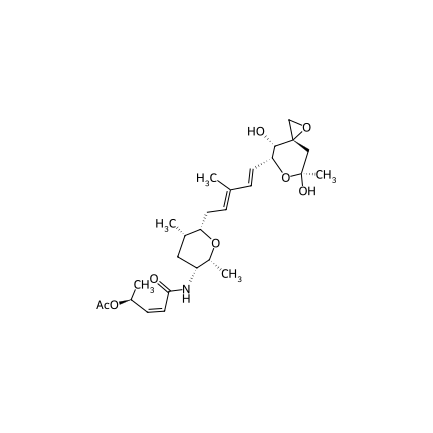 CC(=O)O[C@@H](C)/C=C\C(=O)N[C@@H]1C[C@H](C)[C@H](C/C=C(C)/C=C/[C@H]2O[C@](C)(O)C[C@]3(CO3)[C@H]2O)O[C@@H]1C